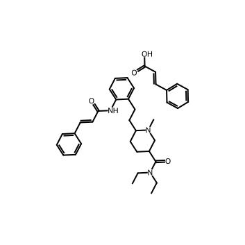 CCN(CC)C(=O)C1CCC(CCc2ccccc2NC(=O)C=Cc2ccccc2)N(C)C1.O=C(O)C=Cc1ccccc1